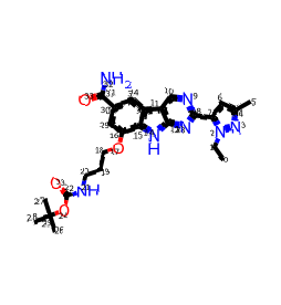 CCn1nc(C)cc1-c1ncc2c(n1)[nH]c1c(OCCCNC(=O)OC(C)(C)C)cc(C(N)=O)cc12